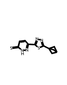 S=c1ccc(-c2nnc(C34CC(C3)C4)s2)n[nH]1